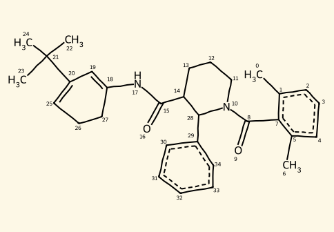 Cc1cccc(C)c1C(=O)N1CCCC(C(=O)NC2=CC(C(C)(C)C)=CCC2)C1c1ccccc1